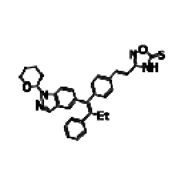 CCC(=C(c1ccc(C=Cc2noc(=S)[nH]2)cc1)c1ccc2c(cnn2C2CCCCO2)c1)c1ccccc1